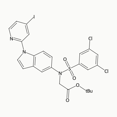 CC(C)(C)OC(=O)CN(c1ccc2c(ccn2-c2cc(I)ccn2)c1)S(=O)(=O)c1cc(Cl)cc(Cl)c1